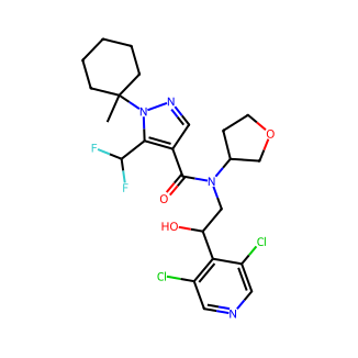 CC1(n2ncc(C(=O)N(CC(O)c3c(Cl)cncc3Cl)C3CCOC3)c2C(F)F)CCCCC1